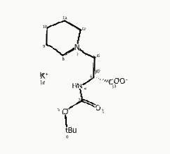 CC(C)(C)OC(=O)N[C@H](CN1CCCCC1)C(=O)[O-].[K+]